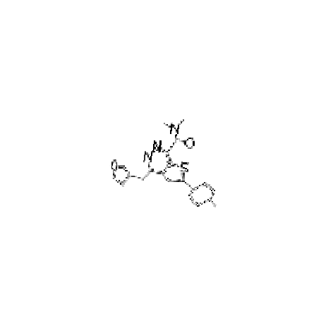 Cc1ccc(-c2cc3c(Cc4ccoc4)nnc(C(=O)N(C)C)c3s2)cc1